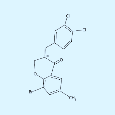 Cc1cc(Br)c2c(c1)C(=O)[C@@H](Cc1ccc(Cl)c(Cl)c1)CO2